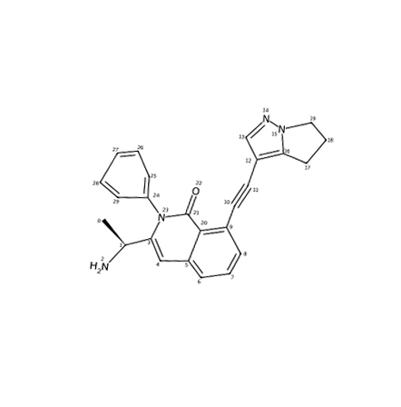 C[C@H](N)c1cc2cccc(C#Cc3cnn4c3CCC4)c2c(=O)n1-c1ccccc1